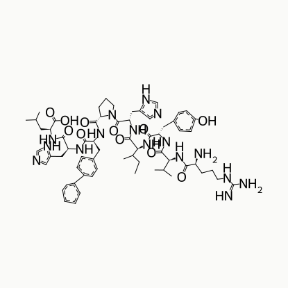 CCC(C)[C@H](NC(=O)[C@H](Cc1ccc(O)cc1)NC(=O)[C@@H](NC(=O)[C@@H](N)CCCNC(=N)N)C(C)C)C(=O)N[C@@H](Cc1cnc[nH]1)C(=O)N1CCC[C@H]1C(=O)N[C@@H](Cc1ccc(-c2ccccc2)cc1)C(=O)N[C@@H](Cc1cnc[nH]1)C(=O)N[C@@H](CC(C)C)C(=O)O